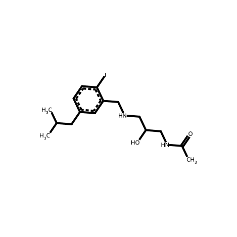 CC(=O)NCC(O)CNCc1cc(CC(C)C)ccc1I